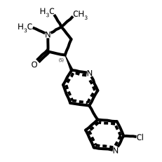 CN1C(=O)[C@H](c2ccc(-c3ccnc(Cl)c3)cn2)CC1(C)C